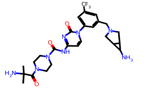 CC(C)(N)C(=O)N1CCN(C(=O)Nc2ccn(-c3cc(CN4CC5C(N)C5C4)cc(C(F)(F)F)c3)c(=O)n2)CC1